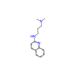 CN(C)CCCNc1ccc2ccccc2n1